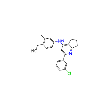 Cc1cc(Nc2cc(-c3cccc(Cl)c3)nc3c2CCC3)ccc1CC#N